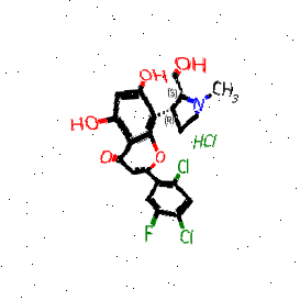 CN1CC[C@H](c2c(O)cc(O)c3c(=O)cc(-c4cc(F)c(Cl)cc4Cl)oc23)[C@H]1CO.Cl